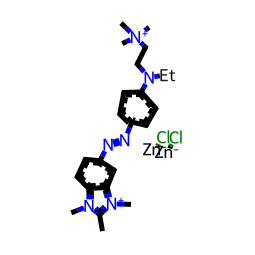 CCN(CC[N+](C)(C)C)c1ccc(N=Nc2ccc3c(c2)[n+](C)c(C)n3C)cc1.[Cl][Zn-].[Cl][Zn-]